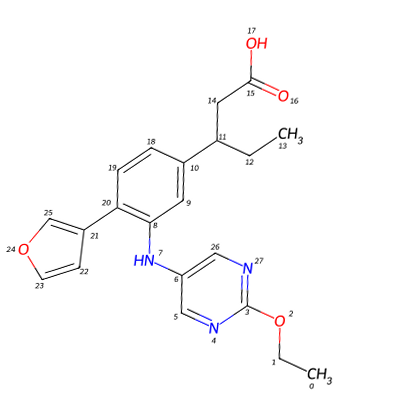 CCOc1ncc(Nc2cc(C(CC)CC(=O)O)ccc2-c2ccoc2)cn1